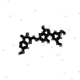 COc1ccc(C(C)NC(=O)COc2cc(C)c3c(-c4cc(OC)cc(OC)c4)nn(C)c3n2)cc1